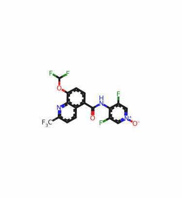 O=C(Nc1c(F)c[n+]([O-])cc1F)c1ccc(OC(F)F)c2nc(C(F)(F)F)ccc12